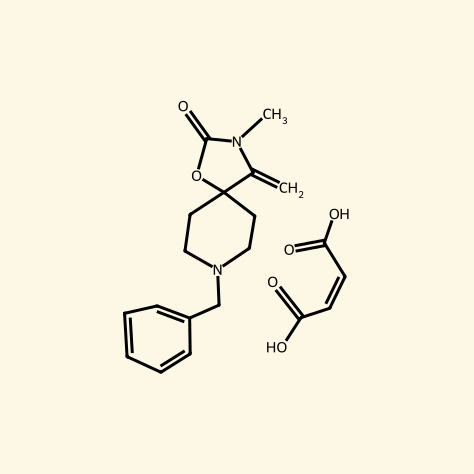 C=C1N(C)C(=O)OC12CCN(Cc1ccccc1)CC2.O=C(O)/C=C\C(=O)O